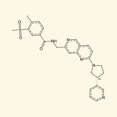 Cc1ccc(C(=O)NCc2cc3nc(N4CC[C@H](c5cccnc5)C4)ccc3cn2)cc1S(C)(=O)=O